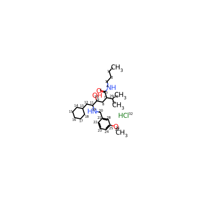 CCCCNC(=O)C(CC(O)C(CC1CCCCC1)NCc1cccc(OC)c1)C(C)C.Cl